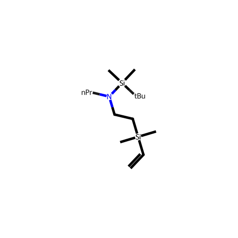 C=C[Si](C)(C)CCN(CCC)[Si](C)(C)C(C)(C)C